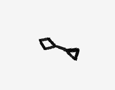 C1CC([C]2CC2)C1